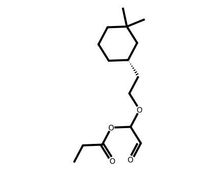 CCC(=O)OC(C=O)OCC[C@@H]1CCCC(C)(C)C1